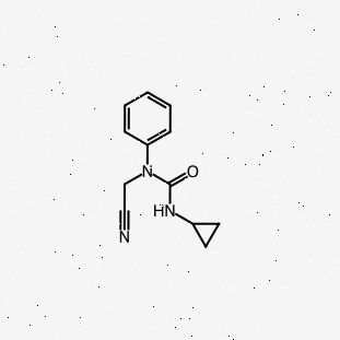 N#CCN(C(=O)NC1CC1)c1ccccc1